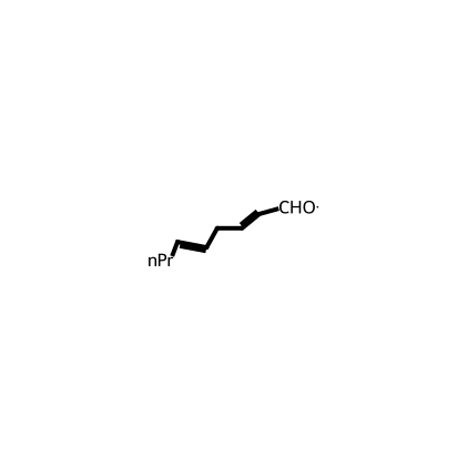 CCCC=CCC=C[C]=O